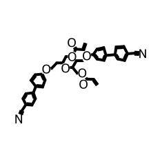 C=CC(=O)OCC(CCOc1ccc(-c2ccc(C#N)cc2)cc1)OC(CCOc1ccc(-c2ccc(C#N)cc2)cc1)COC(=O)C=C